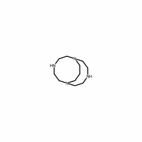 C1CN2CCNCCN(C1)CCNCC2